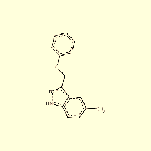 Cc1ccc2[nH]nc(COc3ccccc3)c2c1